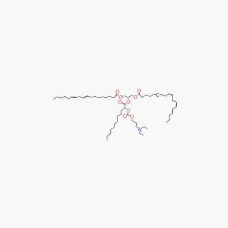 CCCCCC=CCC=CCCCCCCCC(=O)OCC(COC(=O)CCCCCCC/C=C\C/C=C\CCCCC)OC(=O)C(CCCCCCCCCC)OC(=O)OCCCN(CC)CC